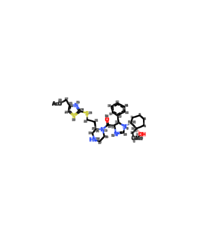 COC[C@]1(O)CCCC[C@H]1N1C=NC(C(=O)N2CCNC[C@H]2CCSc2nc(COC(C)=O)cs2)C1c1ccccc1